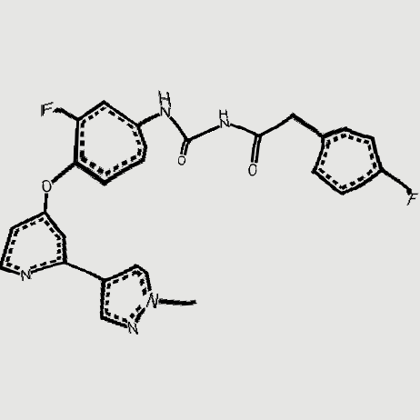 Cn1cc(-c2cc(Oc3ccc(NC(=O)NC(=O)Cc4ccc(F)cc4)cc3F)ccn2)cn1